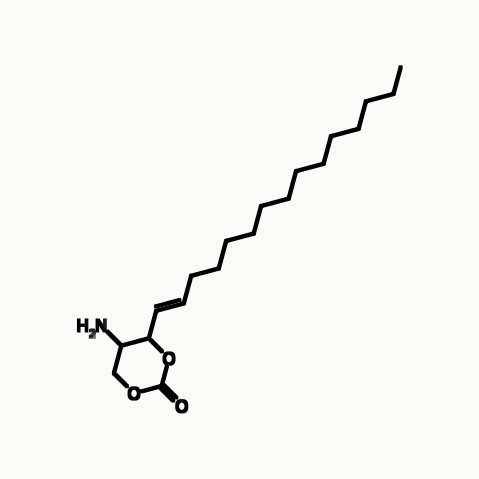 CCCCCCCCCCCCC/C=C/C1OC(=O)OCC1N